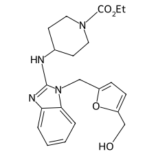 CCOC(=O)N1CCC(Nc2nc3ccccc3n2Cc2ccc(CO)o2)CC1